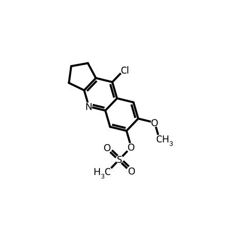 COc1cc2c(Cl)c3c(nc2cc1OS(C)(=O)=O)CCC3